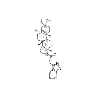 CC[C@@]1(O)CC[C@H]2[C@@H](CC[C@@H]3[C@@H]2CC[C@]2(C)[C@@H](C(=O)Cn4nnc5ccccc54)CC[C@@H]32)C1